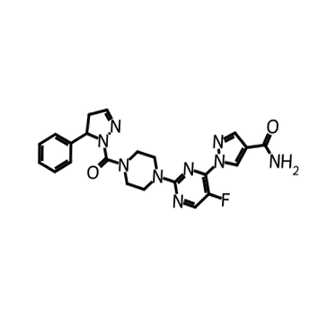 NC(=O)c1cnn(-c2nc(N3CCN(C(=O)N4N=CCC4c4ccccc4)CC3)ncc2F)c1